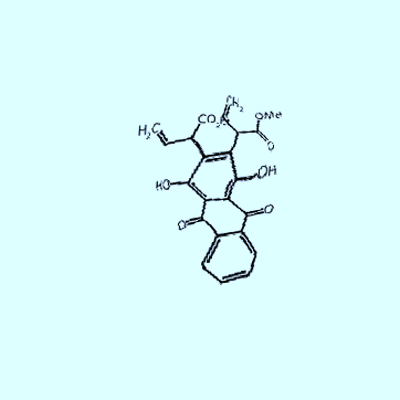 C=CC(C(=O)OC)c1c(O)c2c(c(O)c1C(C=C)C(=O)OCC)C(=O)c1ccccc1C2=O